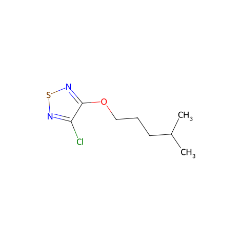 CC(C)CCCOc1nsnc1Cl